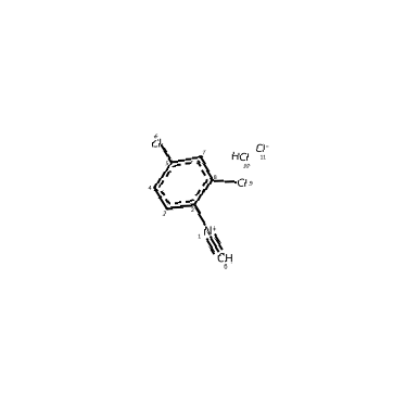 C#[N+]c1ccc(Cl)cc1Cl.Cl.[Cl-]